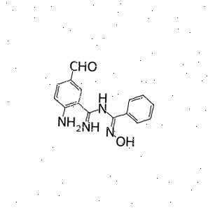 N=C(N/C(=N/O)c1ccccc1)c1cc(C=O)ccc1N